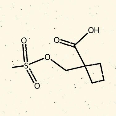 CS(=O)(=O)OCC1(C(=O)O)CCC1